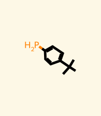 CC(C)(C)c1ccc(P)cc1